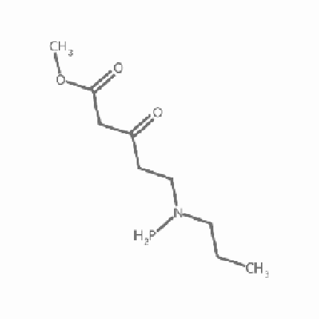 CCCN(P)CCC(=O)CC(=O)OC